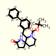 CC(C)(C)OC(=O)N1CCCC2(CCC(=O)N2)C1Cc1cccc(-c2ccccc2)c1